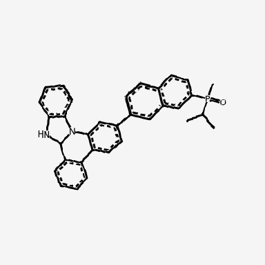 CC(C)P(C)(=O)c1ccc2ccc(-c3ccc4c(c3)N3c5ccccc5NC3c3ccccc3-4)cc2c1